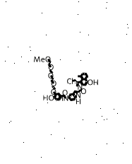 COCCOCCOCCOCCOc1cc(C(=O)Nc2ccc3[nH]c(C(=O)N4C[C@@H](CCl)c5c4cc(O)c4cccc(C)c54)cc3c2)ccc1O